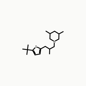 CC(Cc1ccc(C(C)(C)C)s1)CN1CC(C)CC(C)C1